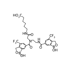 O=C(O)CCCCCNC(=O)CN(CCNC(=O)c1cc2c(c(C(F)(F)F)c1)COB2O)C(=O)c1cc2c(c(C(F)(F)F)c1)COB2O